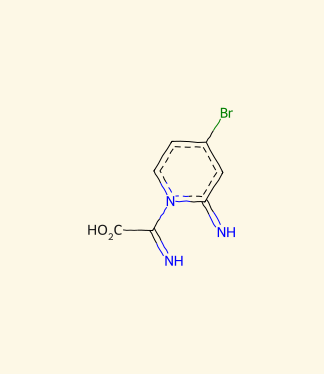 N=C(C(=O)O)n1ccc(Br)cc1=N